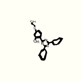 OCCOc1ccc(-c2nc(-c3ccccc3)nc(-c3ccccc3)n2)c(O)c1